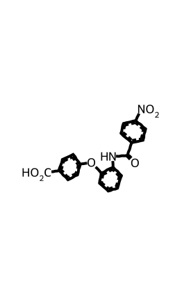 O=C(O)c1ccc(Oc2ccccc2NC(=O)c2ccc([N+](=O)[O-])cc2)cc1